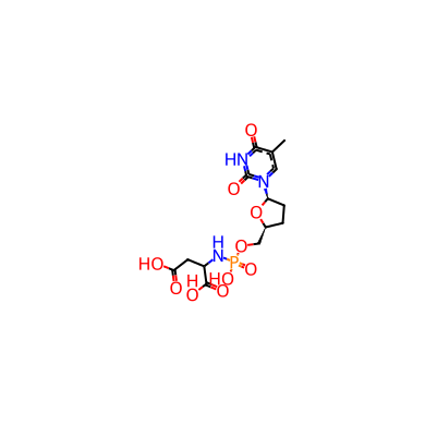 Cc1cn([C@H]2CC[C@@H](COP(=O)(O)NC(CC(=O)O)C(=O)O)O2)c(=O)[nH]c1=O